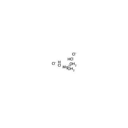 Cl.Cl.O.O.[Cl-].[Cl-].[Mg+2]